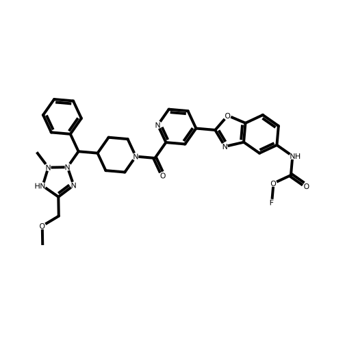 COCC1=NN(C(c2ccccc2)C2CCN(C(=O)c3cc(-c4nc5cc(NC(=O)OF)ccc5o4)ccn3)CC2)N(C)N1